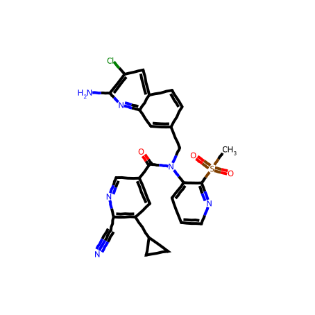 CS(=O)(=O)c1ncccc1N(Cc1ccc2cc(Cl)c(N)nc2c1)C(=O)c1cnc(C#N)c(C2CC2)c1